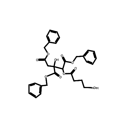 CCCCCCCCCCCCCC(=O)OC(C(=O)OCc1ccccc1)C(O)(CC(=O)OCc1ccccc1)C(=O)OCc1ccccc1